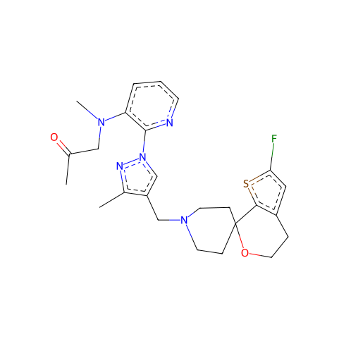 CC(=O)CN(C)c1cccnc1-n1cc(CN2CCC3(CC2)OCCc2cc(F)sc23)c(C)n1